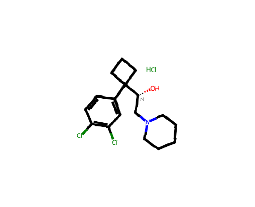 Cl.O[C@H](CN1CCCCC1)C1(c2ccc(Cl)c(Cl)c2)CCC1